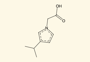 CC(C)c1ccn(CC(=O)O)c1